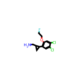 NCC1CC1c1cc(Cl)c(Cl)cc1OCCF